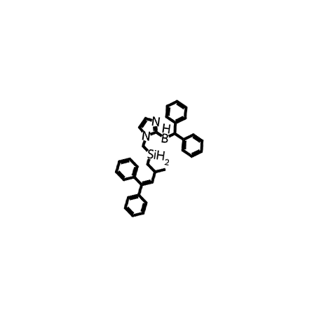 CC(C=C(c1ccccc1)c1ccccc1)C[SiH2]Cn1ccnc1BC(c1ccccc1)c1ccccc1